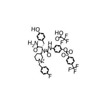 C[N+]1(Cc2ccc(F)cc2)CCC/C(=[N+](/C(=O)Nc2ccc(OS(=O)(=O)c3ccc(C(F)(F)F)cc3)cc2)[C@@H](Cc2ccc(O)cc2)C(N)=O)C1.O=C(O)C(F)(F)F